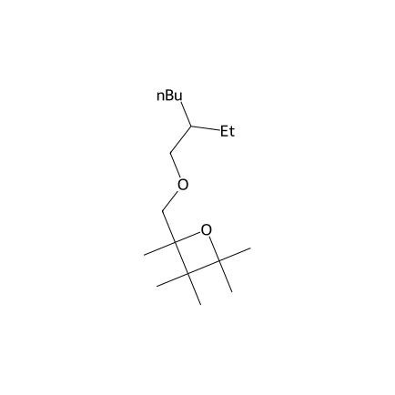 CCCCC(CC)COCC1(C)OC(C)(C)C1(C)C